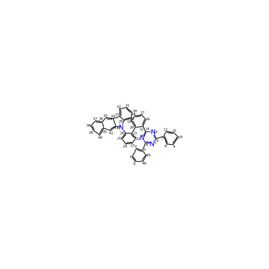 c1ccc(-c2nc(-c3ccccc3)nc(-c3ccccc3-c3ccccc3-n3c4ccccc4c4cc5ccccc5cc43)n2)cc1